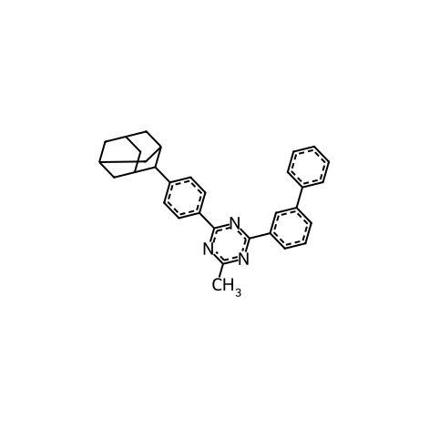 Cc1nc(-c2ccc(C3C4CC5CC(C4)CC3C5)cc2)nc(-c2cccc(-c3ccccc3)c2)n1